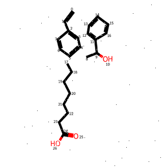 C=Cc1ccccc1.CC(O)c1ccccc1.CCCCCCCC(=O)O